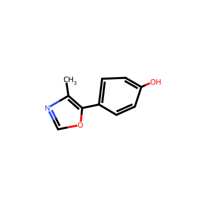 Cc1ncoc1-c1ccc(O)cc1